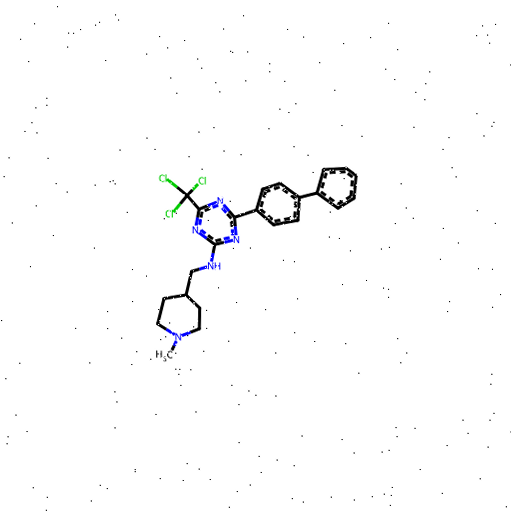 CN1CCC(CNc2nc(-c3ccc(-c4ccccc4)cc3)nc(C(Cl)(Cl)Cl)n2)CC1